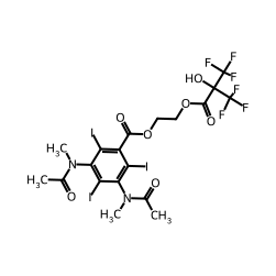 CC(=O)N(C)c1c(I)c(C(=O)OCCOC(=O)C(O)(C(F)(F)F)C(F)(F)F)c(I)c(N(C)C(C)=O)c1I